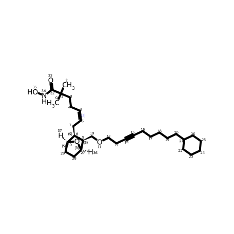 CC(C)(CC/C=C\C[C@H]1[C@@H](COCCC#CCCCCCC2CCCCC2)[C@H]2CC[C@@H]1O2)C(=O)NO